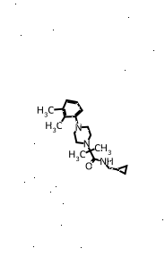 Cc1cccc(N2CCN(C(C)(C)C(=O)NCC3CC3)CC2)c1C